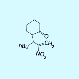 C=C(C(CCCC)C1CCCCC1=O)[N+](=O)[O-]